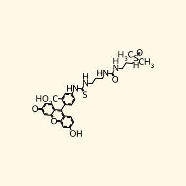 C[SH](C)(=O)CCCNC(=O)NCCCNC(=S)Nc1ccc(-c2c3ccc(=O)cc-3oc3cc(O)ccc23)c(C(=O)O)c1